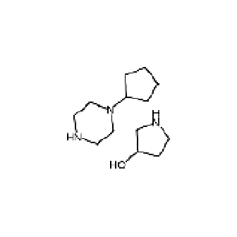 C1CCC(N2CCNCC2)C1.OC1CCNC1